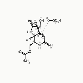 N=C1N[C@H]2[C@H](COC(N)=O)NC(=N)N3C[C@@H](OS(=O)(=O)O)C(O)(O)C23N1